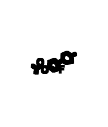 C=C(C)C(=O)Oc1ccc(C2CCC(C)CC2)c(F)c1